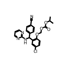 CC(C)OC(=O)OCOc1ccc(Cl)cc1C(Nc1ncccn1)c1ccc(C#N)cc1